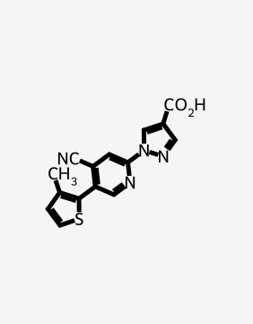 Cc1ccsc1-c1cnc(-n2cc(C(=O)O)cn2)cc1C#N